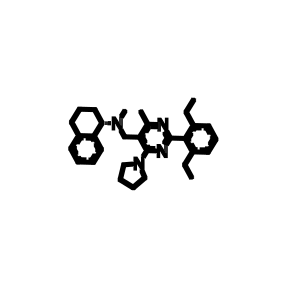 CCc1cccc(CC)c1-c1nc(C)c(CN(C)[C@H]2CCCc3ccccc32)c(N2CCCC2)n1